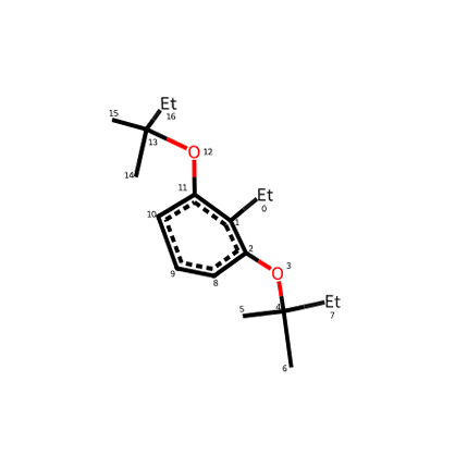 [CH2]Cc1c(OC(C)(C)CC)cccc1OC(C)(C)CC